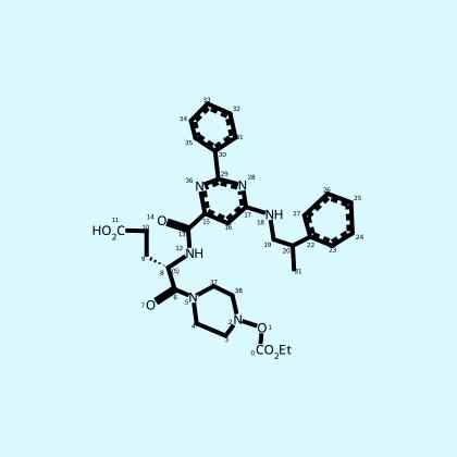 CCOC(=O)ON1CCN(C(=O)[C@H](CCC(=O)O)NC(=O)c2cc(NCC(C)c3ccccc3)nc(-c3ccccc3)n2)CC1